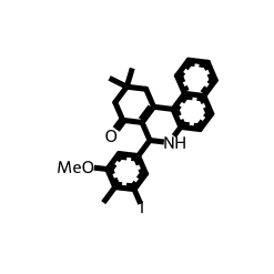 COc1cc(C2Nc3ccc4ccccc4c3C3=C2C(=O)CC(C)(C)C3)cc(I)c1C